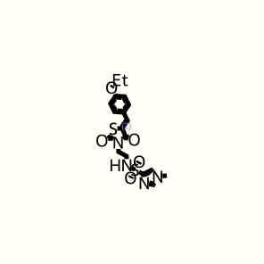 CCOc1ccc(/C=C2\SC(=O)N(CCNS(=O)(=O)c3cn(C)cn3)C2=O)cc1